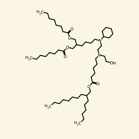 CCCCCCCCC(CCCCCC)COC(=O)CCCCCN(CCO)CCN(CCCCC(COC(=O)CCCCCCC)COC(=O)CCCCCCC)C1CCCCC1